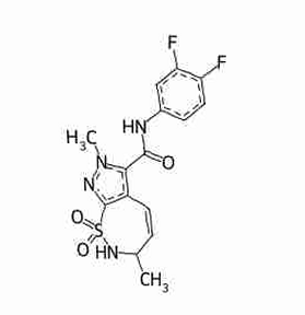 CC1C=Cc2c(nn(C)c2C(=O)Nc2ccc(F)c(F)c2)S(=O)(=O)N1